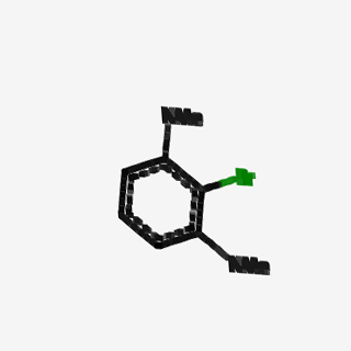 CNc1cccc(NC)c1Br